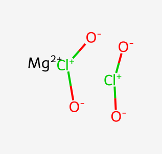 [Mg+2].[O-][Cl+][O-].[O-][Cl+][O-]